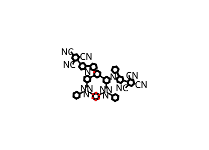 N#Cc1cc(C#N)c(-c2ccc3c(c2)c2ccccc2n3-c2cc(-c3cccc(-c4cc(-c5nc(-c6ccccc6)nc(-c6ccccc6)n5)ccc4-n4c5ccccc5c5cc(-c6c(C#N)cc(C#N)cc6C#N)ccc54)c3)cc(-c3nc(-c4ccccc4)nc(-c4ccccc4)n3)c2)c(C#N)c1